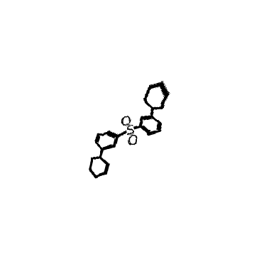 O=S(=O)(c1cccc(C2CCCCC2)c1)c1cccc(C2CCCCC2)c1